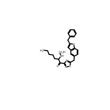 CCOC(=O)NC(CCCCN)C(=O)c1noc(Cc2ccc3oc(Cc4ccccc4)cc3c2)n1